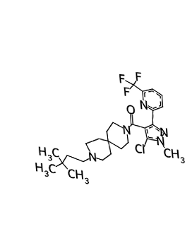 Cn1nc(-c2cccc(C(F)(F)F)n2)c(C(=O)N2CCC3(CCN(CCC(C)(C)C)CC3)CC2)c1Cl